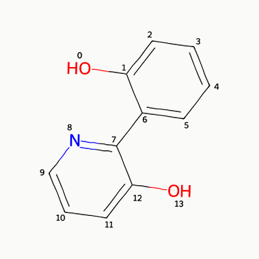 Oc1ccccc1-c1ncccc1O